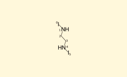 INCCNI